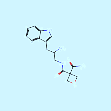 NC(=O)C1(C(=O)NCC(N)Cc2c[nH]c3ccccc23)COC1